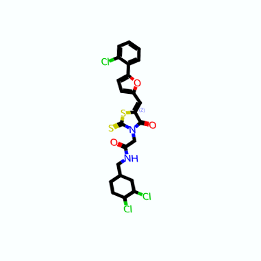 O=C(CN1C(=O)/C(=C/c2ccc(-c3ccccc3Cl)o2)SC1=S)NCC1CCC(Cl)C(Cl)C1